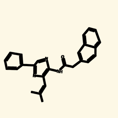 CC(C)=Cc1nc(-c2ccccc2)cnc1NC(=O)Cc1ccc2ccccc2c1